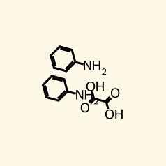 Nc1ccccc1.Nc1ccccc1.O=C(O)C(=O)O